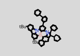 CC(C)(C)c1ccc2c(c1)c1cc(C(C)(C)C)cc3c1n2-c1cc(-c2cccc(-c4ccccc4)c2)cc2c1B3c1c3ccccc3cc3c(C4C=CC=CC4)c(-c4ccccc4)n-2c13